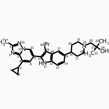 Cc1nc2c(C3CC3)cc(-c3[nH]c4ccc(C5CCN(CC(C)(C)O)CC5)cc4c3C(C)C)cn2n1